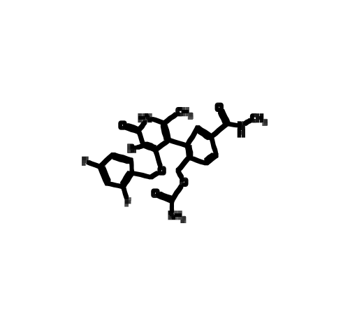 CNC(=O)c1ccc(COC(N)=O)c(-c2c(C)[nH]c(=O)c(Br)c2OCc2ccc(F)cc2F)c1